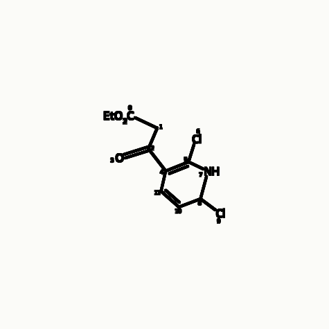 CCOC(=O)CC(=O)C1=C(Cl)NC(Cl)C=C1